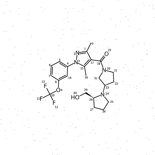 Cc1nn(-c2cccc(OC(F)(F)F)c2)c(C)c1C(=O)N1CCC(N2CCC[C@H]2CO)C1